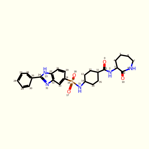 O=C(NC1CCCCNC1=O)C1CCC(NS(=O)(=O)c2ccc3[nH]c(-c4ccccc4)nc3c2)CC1